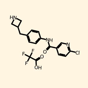 O=C(Nc1ccc(CC2CNC2)cc1)c1ccc(Cl)nc1.O=C(O)C(F)(F)F